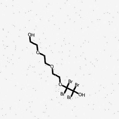 OCCOCCOCCOC(Br)(Br)C(O)(Br)Br